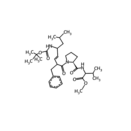 COC(=O)C(NC(=O)[C@@H]1CCCN1C(=O)C(/C=C/C(CC(C)C)NC(=O)OC(C)(C)C)Cc1ccccc1)C(C)C